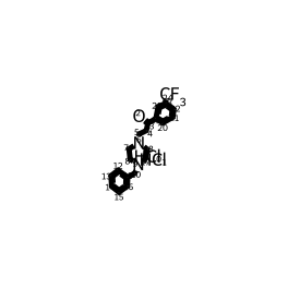 Cl.Cl.O=C(CCN1CCN(Cc2ccccc2)CC1)c1cccc(C(F)(F)F)c1